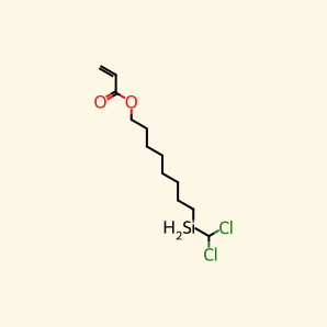 C=CC(=O)OCCCCCCCC[SiH2]C(Cl)Cl